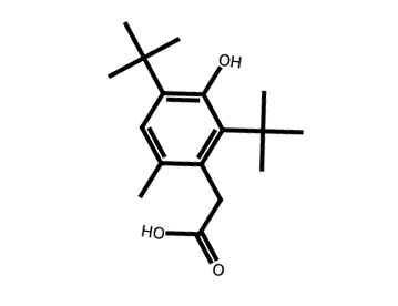 Cc1cc(C(C)(C)C)c(O)c(C(C)(C)C)c1CC(=O)O